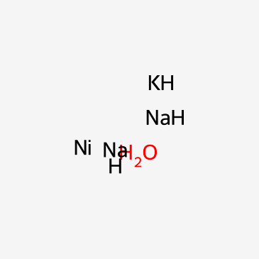 O.[KH].[NaH].[NaH].[Ni]